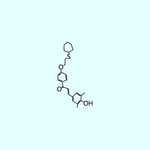 Cc1cc(C=CC(=O)c2ccc(OCCSC3CCCCC3)cc2)cc(C)c1O